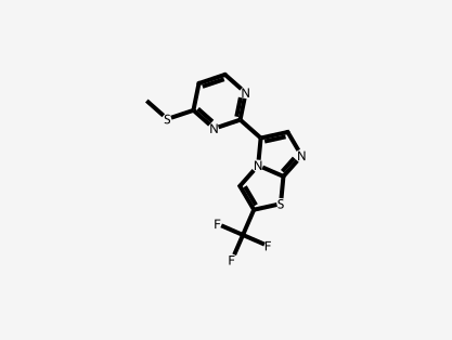 CSc1ccnc(-c2cnc3sc(C(F)(F)F)cn23)n1